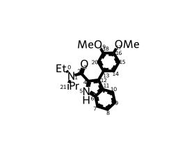 CCN(C(=O)c1[nH]c2ccccc2c1-c1ccc(OC)c(OC)c1)C(C)C